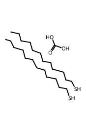 CCCCCCCCCCCCS.CCCCCCCCCCCCS.O=C(O)O